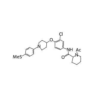 CSc1ccc(N2CCC(Oc3ccc(NC(=O)C4CCCCN4C(C)=O)cc3Cl)CC2)cc1